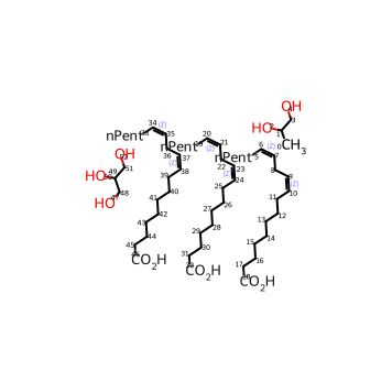 CC(O)CO.CCCCC/C=C\C/C=C\CCCCCCCC(=O)O.CCCCC/C=C\C/C=C\CCCCCCCC(=O)O.CCCCC/C=C\C/C=C\CCCCCCCC(=O)O.OCC(O)CO